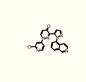 O=c1ccn(-c2ccnc(Cl)c2)nc1-c1ccnn1-c1cccc2cnccc12